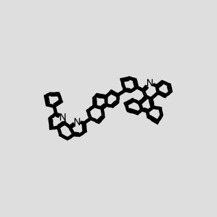 C1=Cc2c(c3c4ccccc4nc(-c4cccc(-c5ccc6c7c(ccc6c5)CC(c5ccc6c(n5)-c5nc(-c8ccccc8)ccc5CC6)C=C7)c4)c3c3ccccc23)CC1